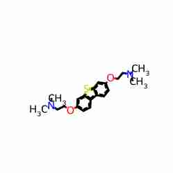 CN(C)CCOc1ccc2c(c1)sc1cc(OCCN(C)C)ccc12